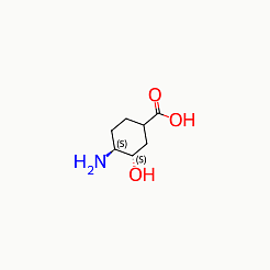 N[C@H]1CCC(C(=O)O)C[C@@H]1O